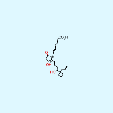 C=CCC1(C(O)CC=C[C@H]2C(O)CC(=O)[C@@H]2CC=CCCCC(=O)O)CCC1